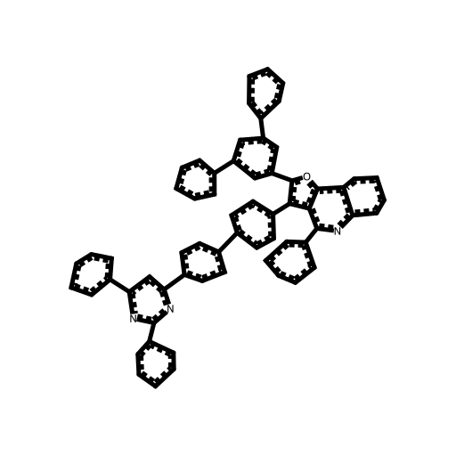 c1ccc(-c2cc(-c3ccccc3)cc(-c3oc4c(c(-c5ccccc5)nc5ccccc54)c3-c3ccc(-c4ccc(-c5cc(-c6ccccc6)nc(-c6ccccc6)n5)cc4)cc3)c2)cc1